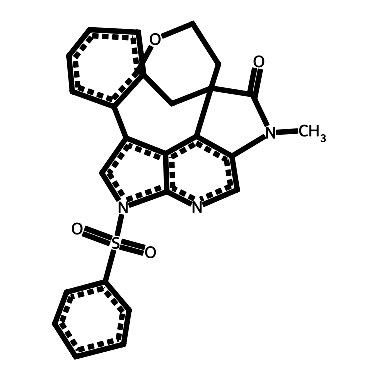 CN1C(=O)C2(CCOCC2)c2c1cnc1c2c(-c2ccccc2)cn1S(=O)(=O)c1ccccc1